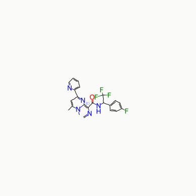 C=N/C(C(=O)NC(c1ccc(F)cc1)C(F)(F)F)=C1/N=C(c2ccccn2)C=C(C)N1C